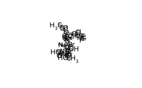 CCOC(=O)COC(=O)c1cc(Oc2ccc(C(F)(F)F)cc2Cl)ccc1[N+](=O)[O-].CP(=O)(O)CCC(N)C(=O)O.N#Cc1cc(Br)c(O)c(Br)c1